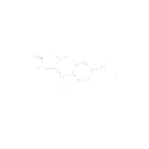 CN(C)c1ccc2c(c1)CN1CC(=O)NC1=N2.Cl.Cl